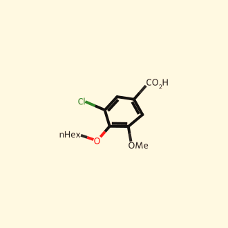 CCCCCCOc1c(Cl)cc(C(=O)O)cc1OC